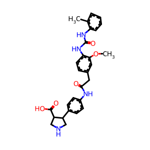 COc1cc(CC(=O)Nc2ccc(C3CNCC3C(=O)O)cc2)ccc1NC(=O)Nc1ccccc1C